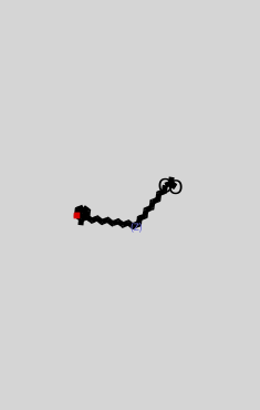 CC(=O)OCCCCCCCC/C=C\CCCCCCCCC12CC(CCC1C)C2(C)C